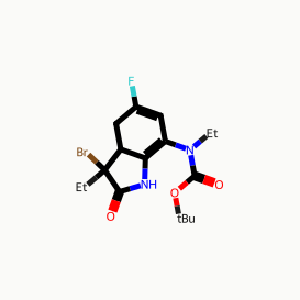 CCN(C(=O)OC(C)(C)C)C1=C2NC(=O)C(Br)(CC)C2CC(F)=C1